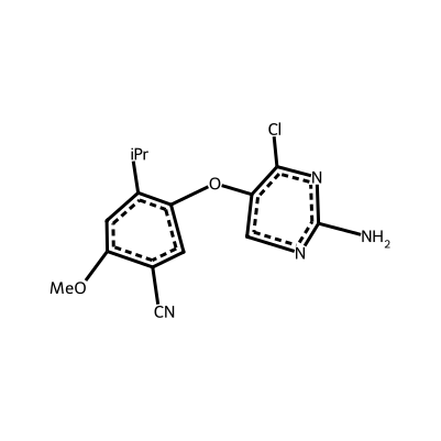 COc1cc(C(C)C)c(Oc2cnc(N)nc2Cl)cc1C#N